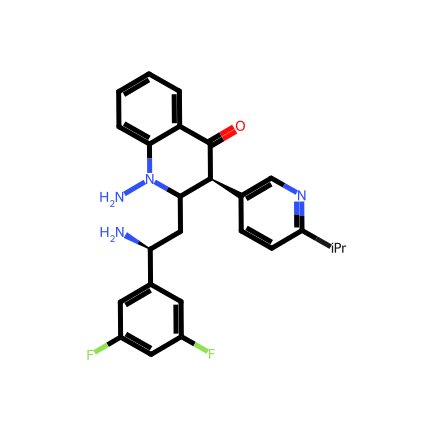 CC(C)c1ccc([C@@H]2C(=O)c3ccccc3N(N)C2C[C@H](N)c2cc(F)cc(F)c2)cn1